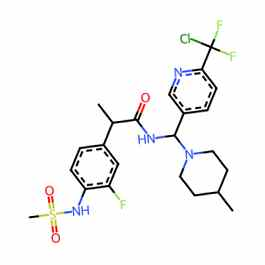 CC1CCN(C(NC(=O)C(C)c2ccc(NS(C)(=O)=O)c(F)c2)c2ccc(C(F)(F)Cl)nc2)CC1